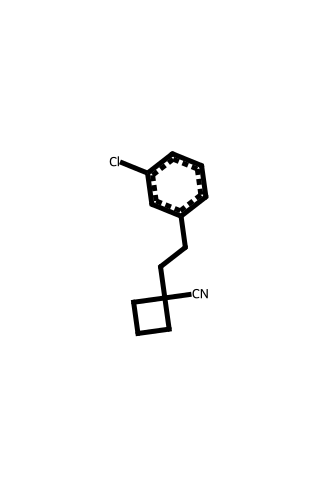 N#CC1(CCc2cccc(Cl)c2)CCC1